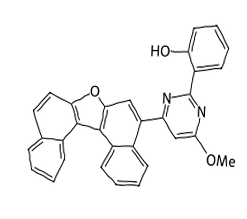 COc1cc(-c2cc3oc4ccc5ccccc5c4c3c3ccccc23)nc(-c2ccccc2O)n1